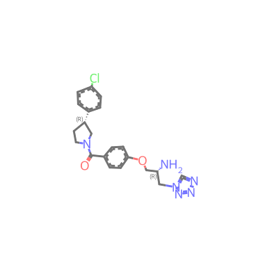 N[C@@H](COc1ccc(C(=O)N2CC[C@H](c3ccc(Cl)cc3)C2)cc1)Cn1cnnn1